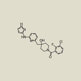 O=C(c1cccc(Cl)c1F)N1CCC(O)(Cc2cccc(Nc3cc[nH]n3)n2)CC1